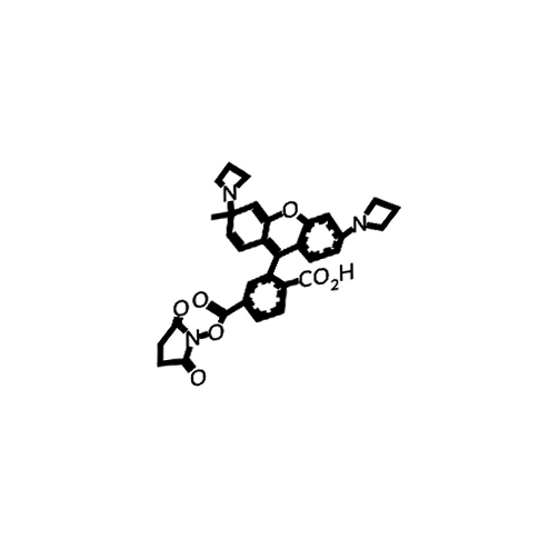 CC1(N2CCC2)C=CC2=C(c3cc(C(=O)ON4C(=O)CCC4=O)ccc3C(=O)O)c3ccc(N4CCC4)cc3OC2=C1